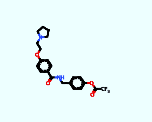 O=C(NCc1ccc(OC(=O)C(F)(F)F)cc1)c1ccc(OCCN2CCCC2)cc1